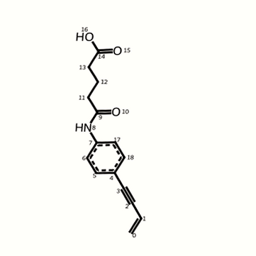 C=CC#Cc1ccc(NC(=O)CCCC(=O)O)cc1